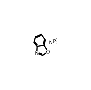 [N].[P].c1ccc2ocnc2c1